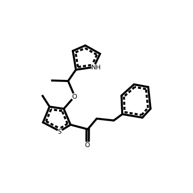 Cc1csc(C(=O)CCc2ccccc2)c1OC(C)c1ccc[nH]1